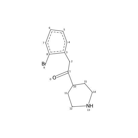 O=C(Cc1ccccc1Br)C1CCNCC1